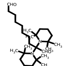 CC1(C)CCCC(C)(C)N1C(C=O)(CCCCCCCC=O)N1C(C)(C)CCCC1(C)C